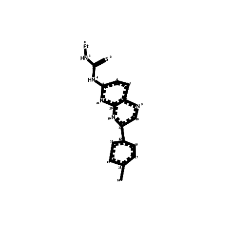 CCNC(=S)Nc1ccc2ncc(-c3ccc(C)cc3)nc2n1